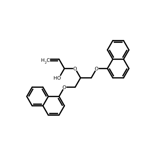 C=CC(O)OC(COc1cccc2ccccc12)COc1cccc2ccccc12